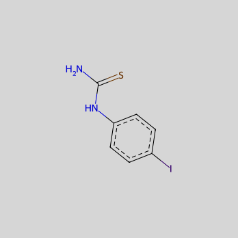 NC(=S)Nc1ccc(I)cc1